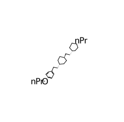 CCCOc1ccc(CC[C@H]2CC[C@H](CC[C@H]3CC[C@H](CCC)CC3)CC2)cc1